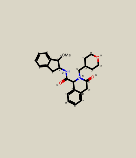 COC1c2ccccc2CC1NC(=O)C1c2ccccc2CC(=O)N1CC1CCOCC1